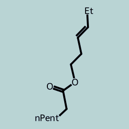 CCC=CCCOC(=O)CCCCCC